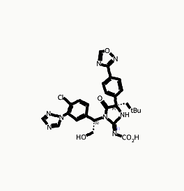 CC(C)(C)C[C@]1(c2ccc(-c3ncon3)cc2)N/C(=N\C(=O)O)N([C@H](CO)c2ccc(Cl)c(-n3cncn3)c2)C1=O